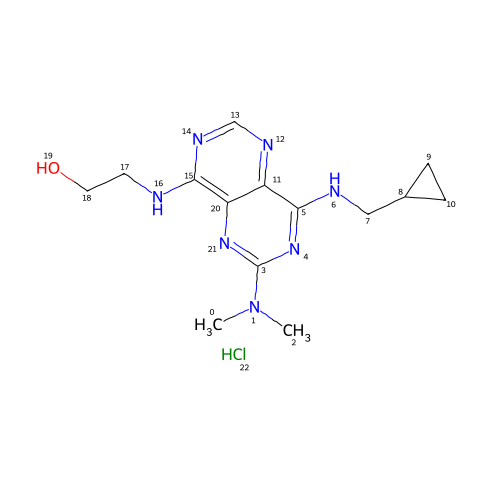 CN(C)c1nc(NCC2CC2)c2ncnc(NCCO)c2n1.Cl